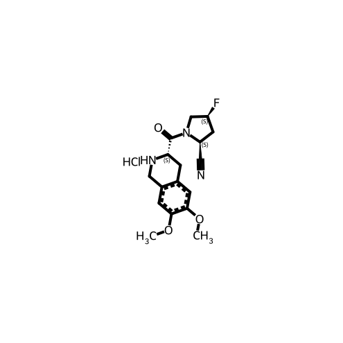 COc1cc2c(cc1OC)C[C@@H](C(=O)N1C[C@@H](F)C[C@H]1C#N)NC2.Cl